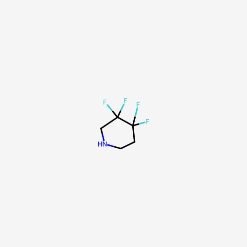 FC1(F)CCNCC1(F)F